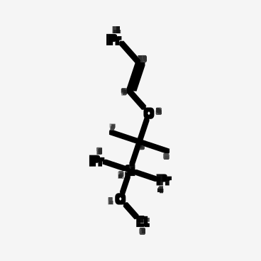 CCO[Si](C(C)C)(C(C)C)C(C)(C)OC=CC(C)C